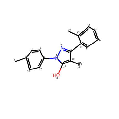 Cc1ccc(-n2nc(-c3ccccc3C)c(C(C)C)c2O)cc1